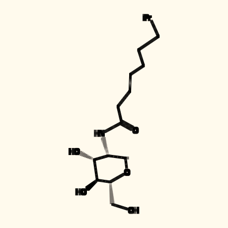 CC(C)CCCCCCC(=O)N[C@@H]1[CH]O[C@H](CO)[C@@H](O)[C@@H]1O